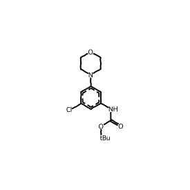 CC(C)(C)OC(=O)Nc1cc(Cl)cc(N2CCOCC2)c1